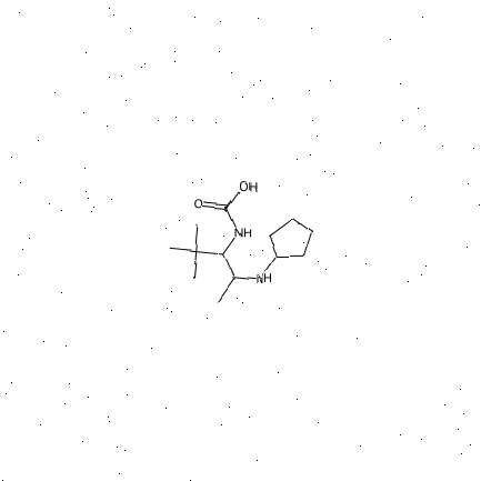 CC(NC1CCCC1)C(NC(=O)O)C(C)(C)C